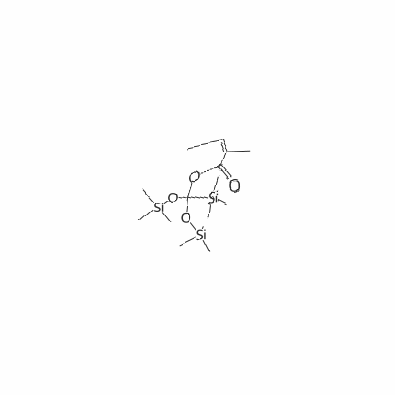 CC=C(C)C(=O)OC(O[Si](C)(C)C)(O[Si](C)(C)C)[Si](C)(C)C